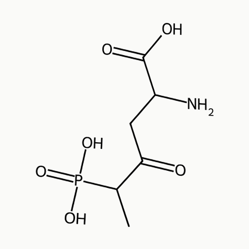 CC(C(=O)CC(N)C(=O)O)P(=O)(O)O